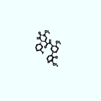 Cc1ccc(-c2ccnn(C)c2=O)cc1NC(=O)C1=CN(C)C(=O)N[C@H]1c1cccc(F)c1